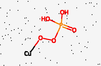 O=P(O)(O)O[O][Cu]